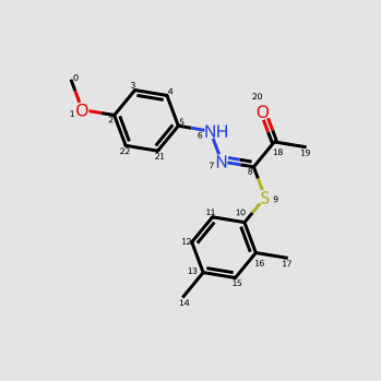 COc1ccc(N/N=C(/Sc2ccc(C)cc2C)C(C)=O)cc1